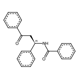 O=C(C[C@@H](NC(=O)c1ccccc1)c1ccccc1)c1ccccc1